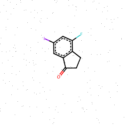 O=C1CCc2c(F)cc(I)cc21